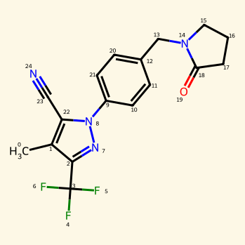 Cc1c(C(F)(F)F)nn(-c2ccc(CN3CCCC3=O)cc2)c1C#N